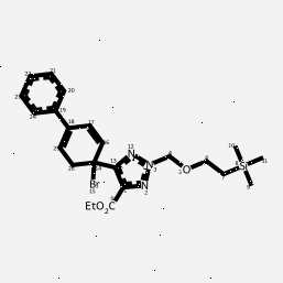 CCOC(=O)c1nn(COCC[Si](C)(C)C)nc1C1(Br)C=CC(c2ccccc2)=CC1